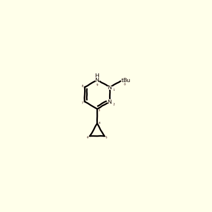 CC(C)(C)N1N=C(C2CC2)C=[C]N1